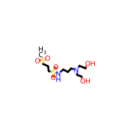 CS(=O)(=O)CCCS(=O)(=O)NCCCN(CCO)CCO